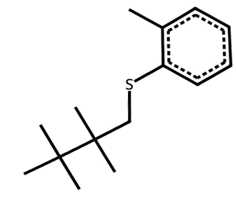 Cc1ccccc1SCC(C)(C)C(C)(C)C